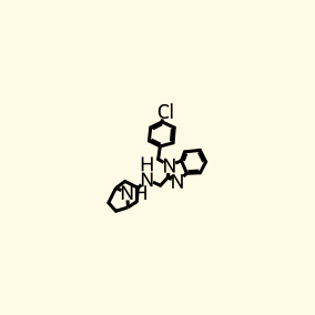 Clc1ccc(Cn2c(CNC3CC4CCC(C3)N4)nc3ccccc32)cc1